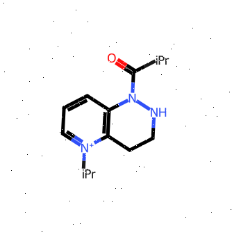 CC(C)C(=O)N1NCCc2c1ccc[n+]2C(C)C